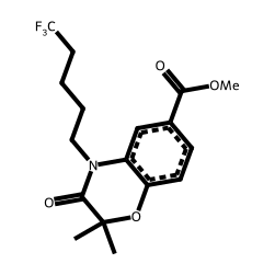 COC(=O)c1ccc2c(c1)N(CCCCC(F)(F)F)C(=O)C(C)(C)O2